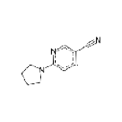 N#Cc1[c]cc(N2CCCC2)nc1